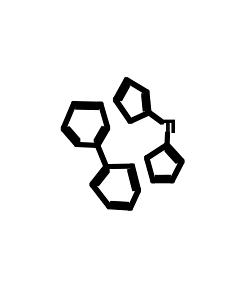 C1=CC[C]([Ti][C]2=CC=CC2)=C1.c1ccc(-c2ccccc2)cc1